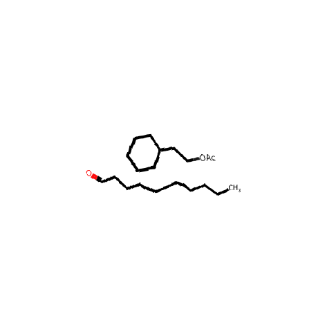 CC(=O)OCCC1CCCCC1.CCCCCCCCCC=O